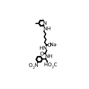 Cc1ccnc(NCCCCCC(=O)NCC(=O)NC(CC(=O)O)c2cccc([N+](=O)[O-])c2)c1.[Na]